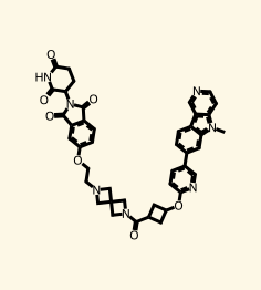 Cn1c2ccncc2c2ccc(-c3ccc(OC4CC(C(=O)N5CC6(CN(CCOc7ccc8c(c7)C(=O)N(C7CCC(=O)NC7=O)C8=O)C6)C5)C4)nc3)cc21